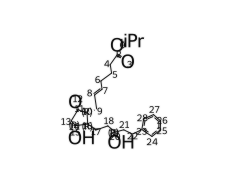 CC(C)OC(=O)CCCC=CC[C@H]1C(=O)C[C@@H](O)[C@@H]1CC[C@@H](O)CCc1ccccc1